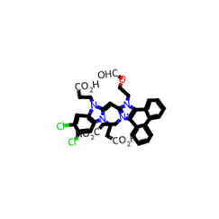 O=COCCn1c(C=C2N(CCC(=O)O)c3cc(Cl)c(Cl)cc3N2CCC(=O)O)[n+](CCC(=O)O)c2c3ccccc3c3ccccc3c21